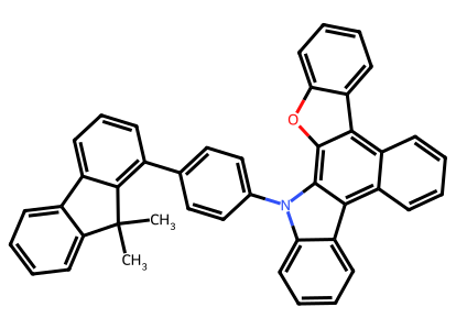 CC1(C)c2ccccc2-c2cccc(-c3ccc(-n4c5ccccc5c5c6ccccc6c6c7ccccc7oc6c54)cc3)c21